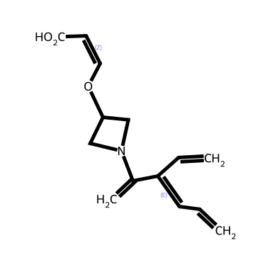 C=C/C=C(\C=C)C(=C)N1CC(O/C=C\C(=O)O)C1